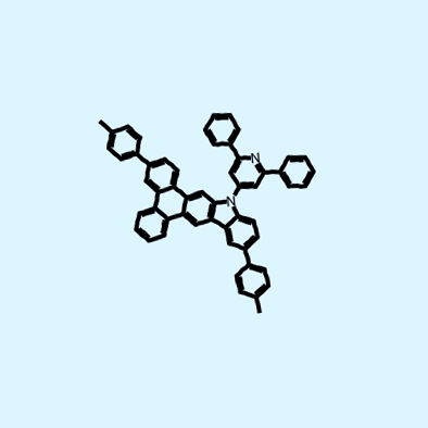 Cc1ccc(-c2ccc3c(c2)c2ccccc2c2cc4c5cc(-c6ccc(C)cc6)ccc5n(-c5cc(-c6ccccc6)nc(-c6ccccc6)c5)c4cc32)cc1